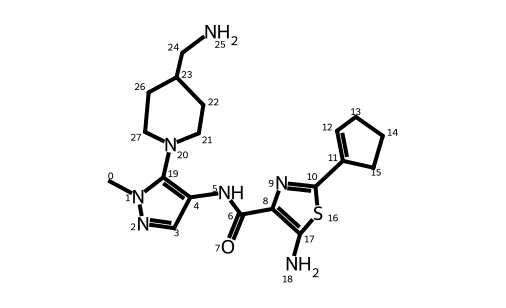 Cn1ncc(NC(=O)c2nc(C3=CCCC3)sc2N)c1N1CCC(CN)CC1